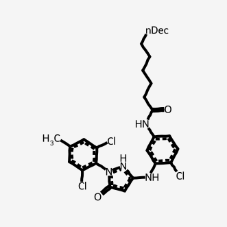 CCCCCCCCCCCCCCCC(=O)Nc1ccc(Cl)c(Nc2cc(=O)n(-c3c(Cl)cc(C)cc3Cl)[nH]2)c1